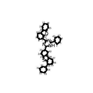 c1ccc(C2=NC(c3cccc4c3oc3ccccc34)=NC(c3ccc4sc5c(-c6ccccc6)cccc5c4c3)N2)cc1